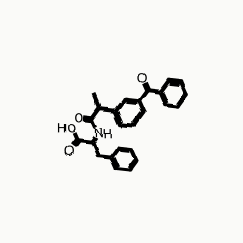 CC(C(=O)NC(Cc1ccccc1)C(=O)O)c1cccc(C(=O)c2ccccc2)c1